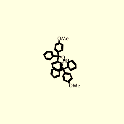 COc1ccc(C(O[PH](=O)OC(c2ccccc2)(c2ccccc2)c2ccc(OC)cc2)(c2ccccc2)c2ccccc2)cc1